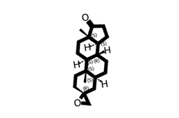 C[C@]12CC[C@]3(CO3)C[C@@H]1CC[C@@H]1[C@@H]2CC[C@]2(C)C(=O)CC[C@@H]12